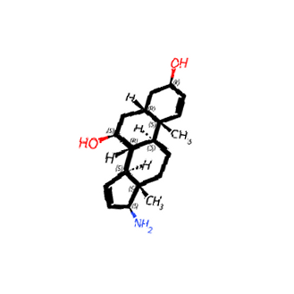 C[C@]12C=C[C@H](O)C[C@H]1C[C@H](O)[C@@H]1[C@@H]2CC[C@]2(C)[C@@H](N)C=C[C@@H]12